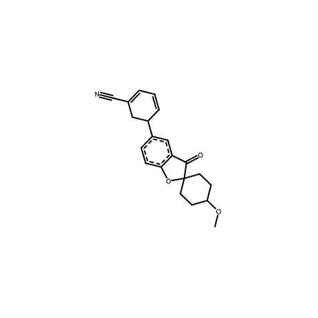 COC1CCC2(CC1)Oc1ccc(C3C=CC=C(C#N)C3)cc1C2=O